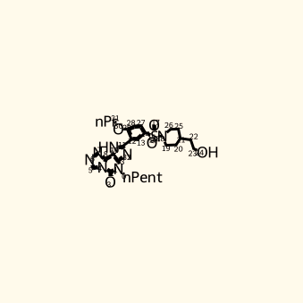 CCCCCn1c(=O)n2cnnc2c2[nH]c(-c3cc(S(=O)(=O)N4CCC(CCO)CC4)ccc3OCCC)nc21